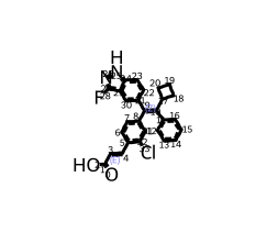 O=C(O)/C=C/c1ccc(/C(=C(\c2ccccc2)C2CCC2)c2ccc3[nH]nc(F)c3c2)cc1Cl